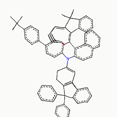 CC(C)(C)c1ccc(-c2ccc(N(C3=CC4=C(CC3)C(c3ccccc3)(c3ccccc3)c3ccccc34)c3ccc4ccccc4c3C3=C4C(=CC#CC3)C(C)(C)c3ccccc34)cc2)cc1